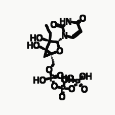 CC[C@]1(O)[C@H](n2ccc(=O)[nH]c2=O)O[C@@]2(COP(=O)(O)OP(=O)(O)OP(=O)(O)O)C[C@@]21O